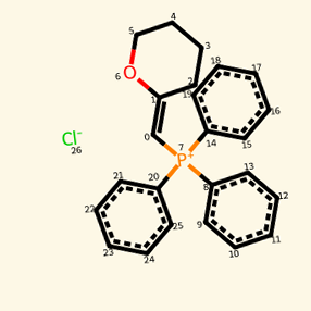 C(=C1CCCCO1)[P+](c1ccccc1)(c1ccccc1)c1ccccc1.[Cl-]